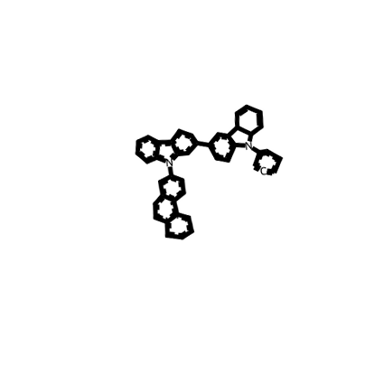 C1=CC2c3cc(-c4ccc5c6ccccc6n(-c6ccc7c(ccc8ccccc87)c6)c5c4)ccc3N(c3ccccc3)C2C=C1